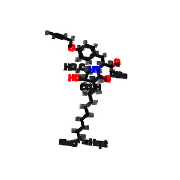 CC#CCOc1ccc(C[C@H](NC(=O)C(/C=C/CCCCCCC(CCCCCCC)OC)[C@@](O)(CC(=O)O)C(=O)O)C(=O)OC)cc1